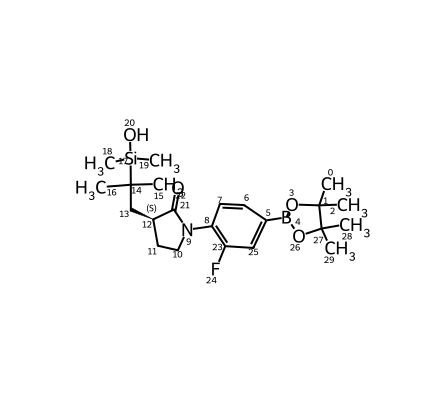 CC1(C)OB(c2ccc(N3CC[C@@H](CC(C)(C)[Si](C)(C)O)C3=O)c(F)c2)OC1(C)C